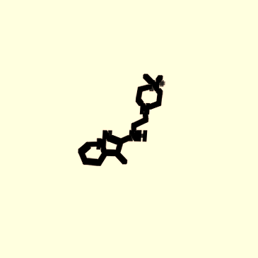 Cc1c(NCCN2CC[N+](C)(C)CC2)nn2ccccc12